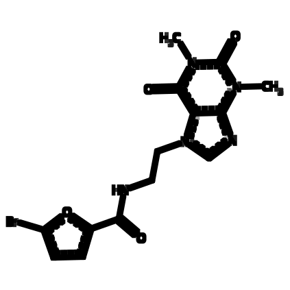 Cn1c(=O)c2c(ncn2CCNC(=O)c2ccc(Br)o2)n(C)c1=O